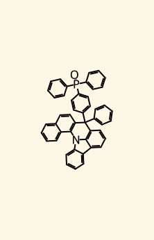 O=P(c1ccccc1)(c1ccccc1)c1ccc(C2(c3ccccc3)c3ccc4ccccc4c3-n3c4ccccc4c4cccc2c43)cc1